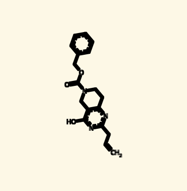 C=CCc1nc(O)c2c(n1)CCN(C(=O)OCc1ccccc1)C2